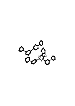 c1ccc(-c2ccc(-c3cc(-c4ccccc4)cc(-c4cccc(-c5cccc(-c6nc(-c7cccc(-c8ccccc8)c7)c7sc8ccccc8c7n6)c5)c4)c3)cc2)cc1